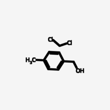 Cc1ccc(CO)cc1.ClCCl